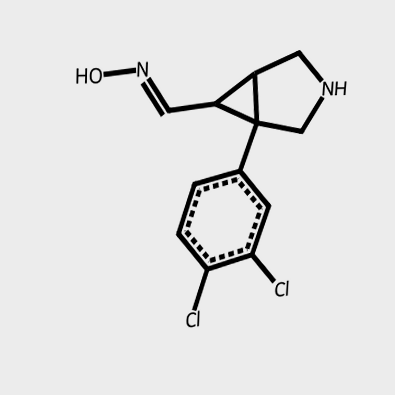 ON=CC1C2CNCC12c1ccc(Cl)c(Cl)c1